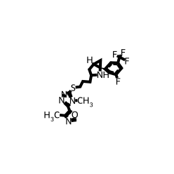 Cc1ncoc1-c1nnc(SCCCC2C[C@@H]3C[C@]3(c3cc(F)cc(C(F)(F)F)c3)N2)n1C